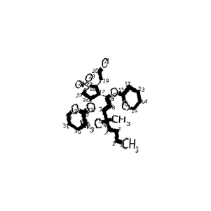 CCCCC(C)(C)C/C=C(/OC1CCCCO1)[C@H]1[C@@H](CC=O)S(=O)(=O)C[C@H]1OC1CCCCO1